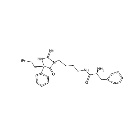 CC(C)CC[C@@]1(c2ccccc2)NC(=N)N(CCCCNC(=O)[C@@H](N)Cc2ccccc2)C1=O